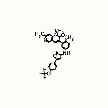 Cc1cc2c(cn1)cc(-c1cc(Nc3cc(-c4ccc(OC(F)(F)F)cc4)on3)ccc1C)c(=O)n2C